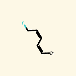 CC/C=C\C=C/CF